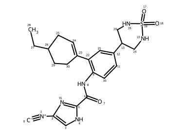 [C-]#[N+]c1c[nH]c(C(=O)Nc2ccc(C3CNS(=O)(=O)NC3)cc2C2=CCC(CC)CC2)n1